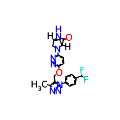 Cc1nnn(-c2ccc(C(F)F)cc2)c1COc1ccc(N2C[C@H]3C[C@@H]2C(=O)N3)nn1